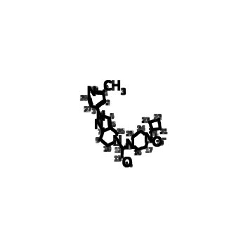 Cc1cc(-n2cc3c(n2)CCN(C(C=O)N2CC[N+]([O-])(C4CCC4)CC2)C3)ccn1